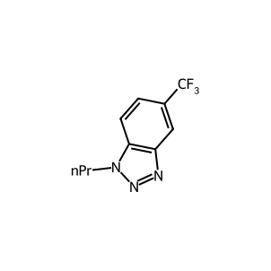 CCCn1nnc2cc(C(F)(F)F)ccc21